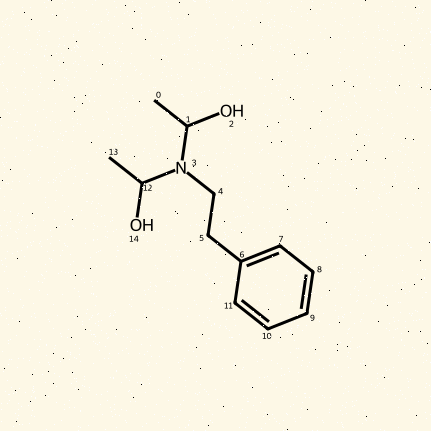 CC(O)N(CCc1ccccc1)C(C)O